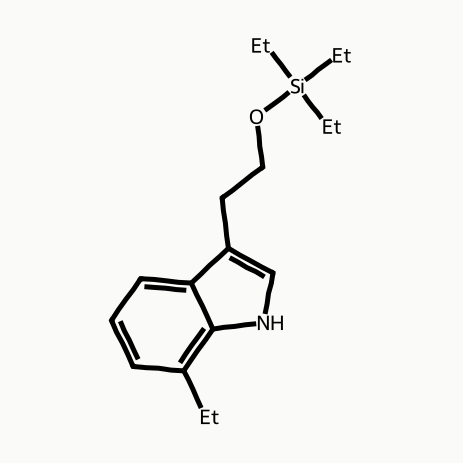 CCc1cccc2c(CCO[Si](CC)(CC)CC)c[nH]c12